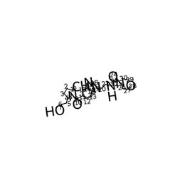 CC1CCC(CCO)N1C(=O)c1ccc2c(c1)ncn2CCNC(=O)N1CCOCC1